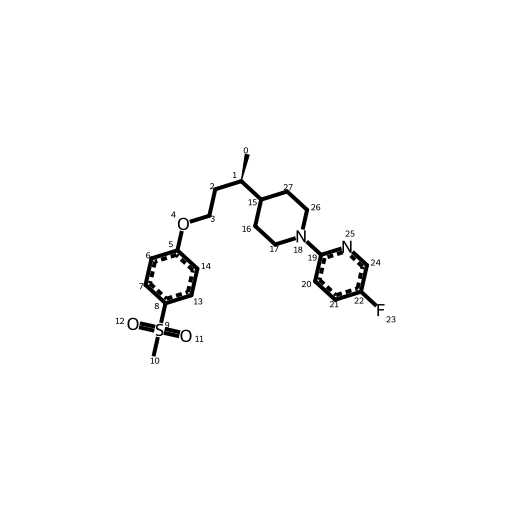 C[C@H](CCOc1ccc(S(C)(=O)=O)cc1)C1CCN(c2ccc(F)cn2)CC1